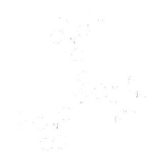 CCCCC(CC)COc1cc2c(cc1OCC(CC)CCCC)c1cc(-c3ccc(N(c4ccc(C5OCCO5)cc4)c4cccc5ccccc45)cc3)sc1c1sc(-c3ccc(N(c4ccc(C5OCCO5)cc4)c4cccc5ccccc45)cc3)cc21